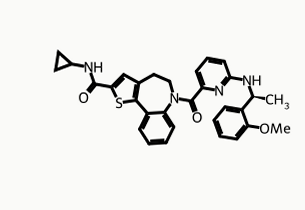 COc1ccccc1[C@H](C)Nc1cccc(C(=O)N2CCc3cc(C(=O)NC4CC4)sc3-c3ccccc32)n1